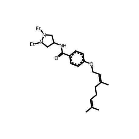 CCN1CC(NC(=O)c2ccc(OC/C=C(/C)CCC=C(C)C)cc2)CN1CC